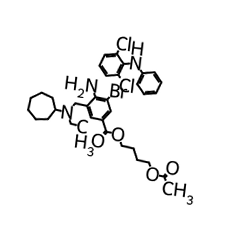 CCN(Cc1cc(C(=O)OCCCCOC(C)=O)cc(Br)c1N)C1CCCCCC1.Clc1cccc(Cl)c1Nc1ccccc1